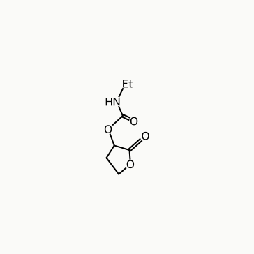 CCNC(=O)OC1CCOC1=O